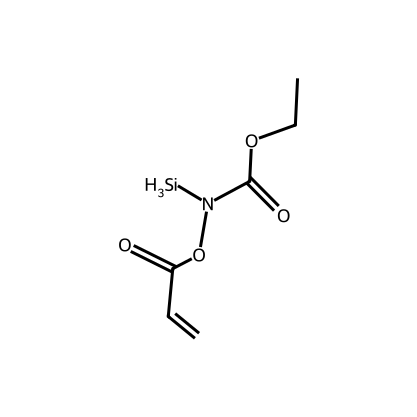 C=CC(=O)ON([SiH3])C(=O)OCC